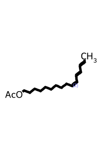 CC=CC=C/C=C\CCCCCCCCCOC(C)=O